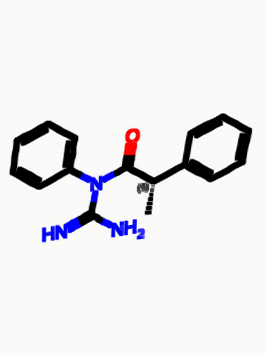 C[C@H](C(=O)N(C(=N)N)c1ccccc1)c1ccccc1